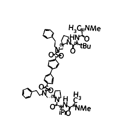 CN[C@@H](C)C(=O)N[C@H](C(=O)N1CCC[C@H]1CN(CCc1ccccc1)S(=O)(=O)c1ccc(-c2ccc(S(=O)(=O)N(CCc3ccccc3)C[C@@H]3CCCN3C(=O)[C@@H](NC(=O)[C@H](C)NC)C(C)(C)C)cc2)cc1)C(C)C